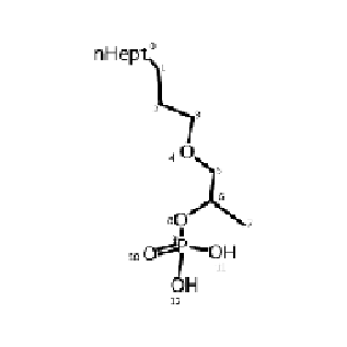 CCCCCCCCCCOCC(C)OP(=O)(O)O